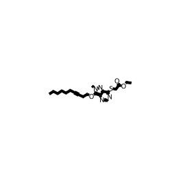 CCCCCCC#CCCOc1c2ncnc(SCC(=O)OCC)c2nn1C